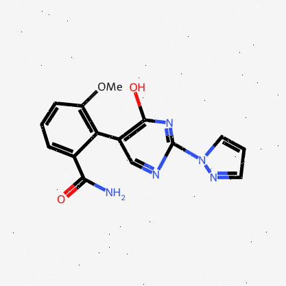 COc1cccc(C(N)=O)c1-c1cnc(-n2cccn2)nc1O